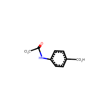 O=C(O)c1ccc(NC(=O)C(Cl)(Cl)Cl)cc1